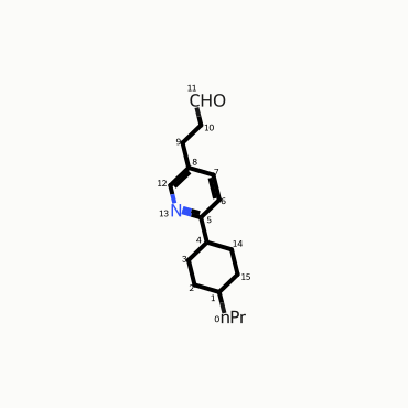 CCCC1CCC(c2ccc(CCC=O)cn2)CC1